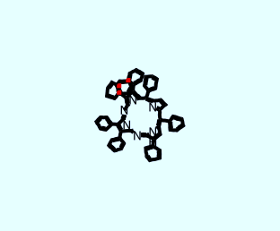 C1=Cc2nc1c(-c1ccccc1)c1cc(-c3ccccc3)c(nc3nc(nc4c(-c5ccccc5)c(-c5ccccc5)c(c2-c2ccccc2)n4-c2ccccc2)C(c2ccccc2)=C3c2ccccc2)[nH]1